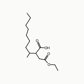 CCCCCCCC(C)C(CC(=O)OCC)C(=O)O